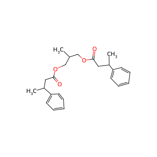 CC(COC(=O)CC(C)c1ccccc1)COC(=O)CC(C)c1ccccc1